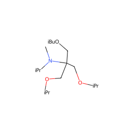 CC(C)COCC(COC(C)C)(COC(C)C)N(C)C(C)C